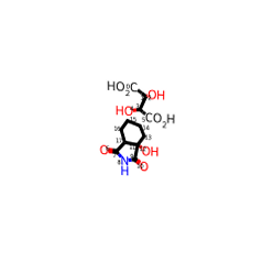 O=C(O)C(O)C(O)C(=O)O.O=C1NC(=O)C2(O)CCCCC12